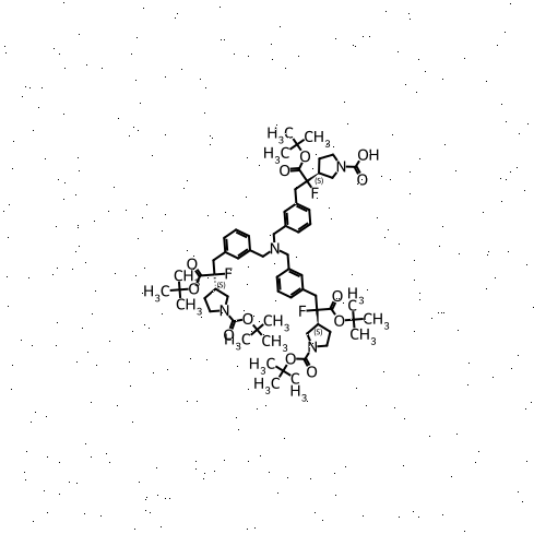 CC(C)(C)OC(=O)N1CC[C@H](C(F)(Cc2cccc(CN(Cc3cccc(CC(F)(C(=O)OC(C)(C)C)[C@H]4CCN(C(=O)O)C4)c3)Cc3cccc(CC(F)(C(=O)OC(C)(C)C)[C@H]4CCN(C(=O)OC(C)(C)C)C4)c3)c2)C(=O)OC(C)(C)C)C1